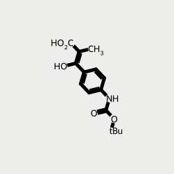 C/C(C(=O)O)=C(/O)c1ccc(NC(=O)OC(C)(C)C)cc1